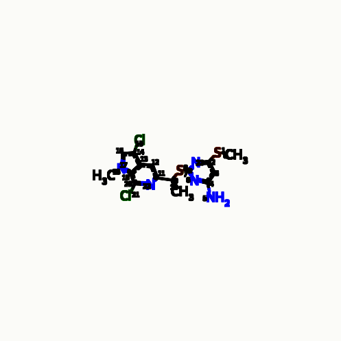 CSc1cc(N)nc(SC(C)c2cc3c(Cl)cn(C)c3c(Cl)n2)n1